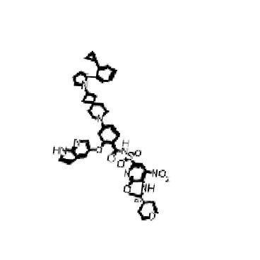 O=C(NS(=O)(=O)c1cc([N+](=O)[O-])c2c(n1)OC[C@H](C1CCOCC1)N2)c1ccc(N2CCC3(CC2)CC(N2CCC[C@H]2c2ccccc2C2CC2)C3)cc1Oc1cnc2[nH]ccc2c1